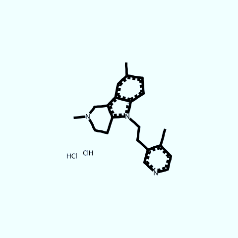 Cc1ccc2c(c1)c1c(n2CCc2cnccc2C)CCN(C)C1.Cl.Cl